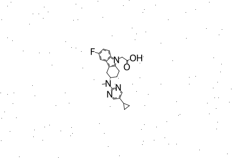 CN(c1ncc(C2CC2)cn1)[C@H]1CCc2c(c3cc(F)ccc3n2CC(=O)O)C1